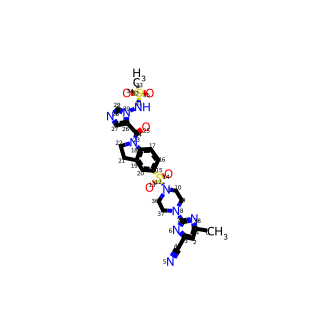 Cc1cc(C#N)nc(N2CCN(S(=O)(=O)c3ccc4c(c3)CCN4C(=O)c3cncn3NS(C)(=O)=O)CC2)n1